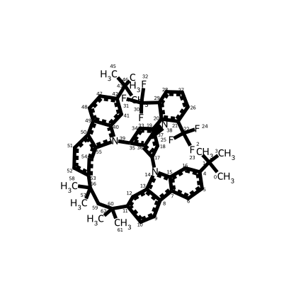 CC(C)(C)c1ccc2c3ccc4cc3n(c2c1)-c1cc(-c2c(C(F)(F)F)cccc2C(F)(F)F)cc(c1C#N)-n1c2cc(C(C)(C)C)ccc2c2ccc(cc21)C(C)(C)CC4(C)C